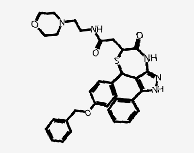 O=C(CC1SC(c2ccc(OCc3ccccc3)cc2)c2c(n[nH]c2-c2ccccc2)NC1=O)NCCN1CCOCC1